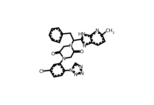 Cc1ccc2nc(C(Cc3ccccc3)N3CC(=O)N(c4cc(Cl)ccc4-n4cnnn4)CC3=O)[nH]c2n1